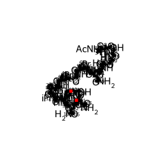 CC(=O)NC(C)(C)C(=O)NC(C)C(=O)NC(CO)C(=O)NC(C)C(=O)NC(C)(C)C(=O)NC(C)(C)C(=O)NC(CCC(N)=O)C(=O)NC(C)(C)C(=O)NC(CC(C)C)C(=O)NC(C)(C)C(=O)NCC(=O)NC(CC(C)C)C(=O)NC(C)(C)C(=O)N1CCCC1C(=O)NC(C(=O)NC(C)(C)C(=O)NC(C)(C)C(=O)NC(CCC(N)=O)C(=O)NC(CCC(N)=O)C(=O)NC(CO)Cc1ccccc1)C(C)C